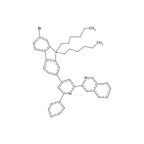 CCCCCCC1(CCCCCC)c2cc(Br)ccc2-c2ccc(-c3cc(-c4ccccc4)nc(-c4cc5ccccc5cn4)c3)cc21